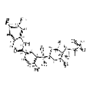 CCC1C[C@@H](S(=O)(=O)c2cc(C(=O)Nc3cc(F)c(F)cc3C)ccc2Cl)C[C@H](C)[C@@]1(O)CNS(C)(=O)=O